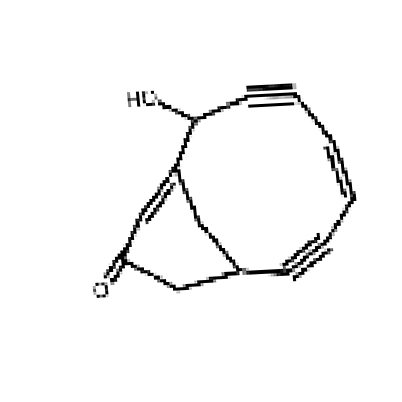 O=C1C=C2CC(C#C/C=C\C#CC2O)C1